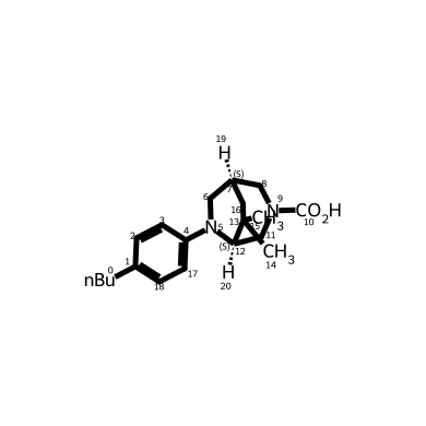 CCCCc1ccc(N2C[C@H]3CN(C(=O)O)C[C@@H]2C(C)(C)C3)cc1